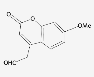 COc1ccc2c(C[C]=O)cc(=O)oc2c1